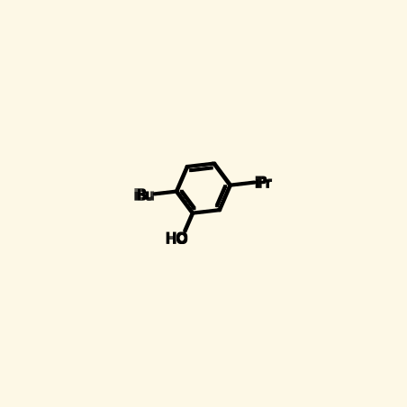 CCC(C)c1ccc(C(C)C)cc1O